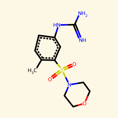 Cc1ccc(NC(=N)N)cc1S(=O)(=O)N1CCOCC1